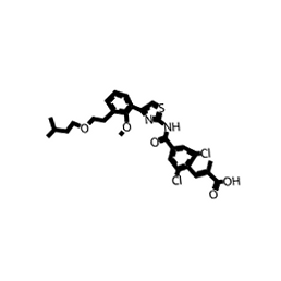 COc1c(CCOCCC(C)C)cccc1-c1csc(NC(=O)c2cc(Cl)c(C=C(C)C(=O)O)c(Cl)c2)n1